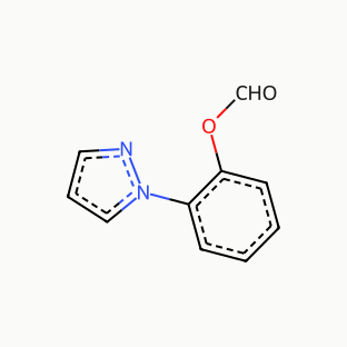 O=COc1ccccc1-n1cccn1